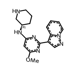 COc1cc(N[C@@H]2CCCNC2)nc(-c2cnn3ccccc23)n1